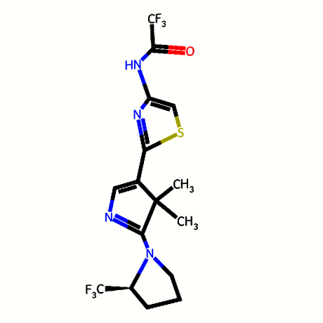 CC1(C)C(c2nc(NC(=O)C(F)(F)F)cs2)=CN=C1N1CCC[C@H]1C(F)(F)F